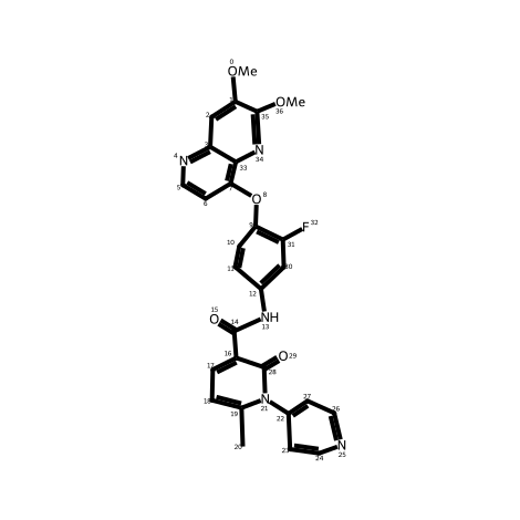 COc1cc2nccc(Oc3ccc(NC(=O)c4ccc(C)n(-c5ccncc5)c4=O)cc3F)c2nc1OC